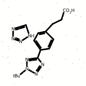 CC(C)(C)n1nnc(-c2ccc(CCC(=O)O)cc2)n1.c1nnn[nH]1